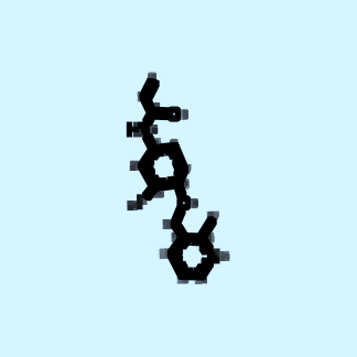 C=CC(=O)Nc1ccc(OCc2cccnc2C)c(F)c1